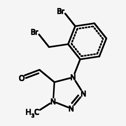 CN1N=NN(c2cccc(Br)c2CBr)C1C=O